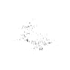 CCC(=O)N[C@H](C(=O)N[C@@H](CC(=O)O)C(=O)N[C@H](C(=O)NCCN1CCN(CC(=O)N[C@H](C(=O)N[C@@H](CC(=O)O)C(=O)N[C@H](C(=O)N[C@@H](C)C(=O)O)[C@@H](O)[C@H](O)[C@H](O)CO)[C@@H](O)[C@H](O)[C@H](O)CO)CC1)[C@@H](O)[C@H](O)[C@H](O)CO)[C@@H](O)[C@H](O)[C@H](O)CO